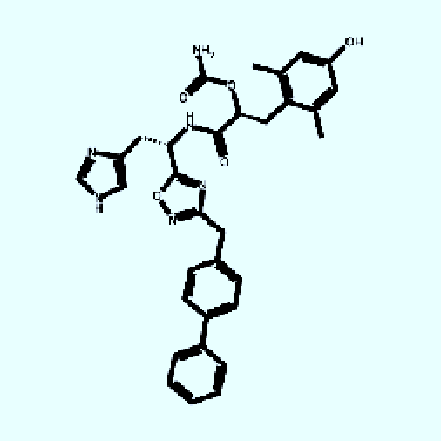 Cc1cc(O)cc(C)c1C[C@H](OC(N)=O)C(=O)N[C@@H](Cc1c[nH]cn1)c1nc(Cc2ccc(-c3ccccc3)cc2)no1